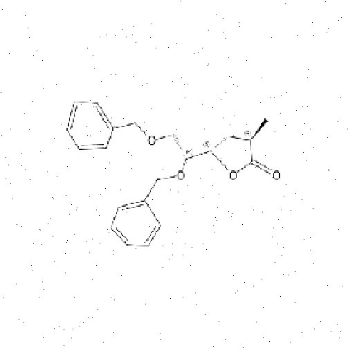 C[C@@H]1C[C@@H]([C@@H](COCc2ccccc2)OCc2ccccc2)OC1=O